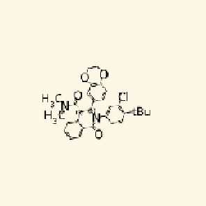 CN(C)C(=O)[C@H]1c2ccccc2C(=O)N(c2ccc(C(C)(C)C)c(Cl)c2)[C@@H]1c1ccc2c(c1)OCCO2